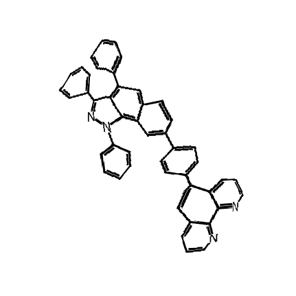 c1ccc(-c2cc3ccc(-c4ccc(-c5cc6cccnc6c6ncccc56)cc4)cc3c3c2c(-c2ccccc2)nn3-c2ccccc2)cc1